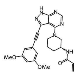 C=CC(=O)N[C@H]1CCCN(c2ncnc3[nH]nc(C#Cc4cc(OC)cc(OC)c4)c23)C1